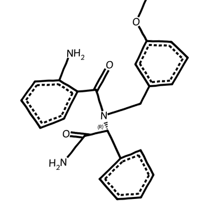 COc1cccc(CN(C(=O)c2ccccc2N)[C@@H](C(N)=O)c2ccccc2)c1